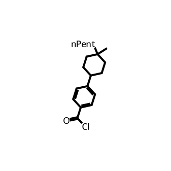 CCCCCC1(C)CCC(c2ccc(C(=O)Cl)cc2)CC1